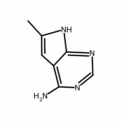 Cc1cc2c(N)ncnc2[nH]1